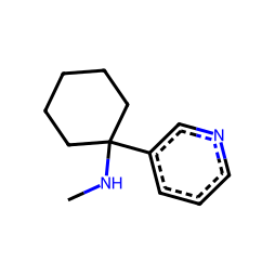 CNC1(c2cccnc2)CCCCC1